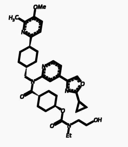 CCN(CCO)C(=O)O[C@H]1CC[C@H](C(=O)N(C[C@H]2CC[C@H](c3ccc(OC)c(C)n3)CC2)c2cc(-c3coc(C4CC4)n3)ccn2)CC1